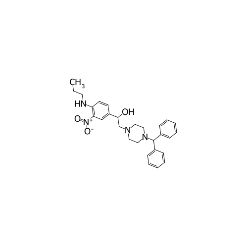 CCCNc1ccc(C(O)CN2CCN(C(c3ccccc3)c3ccccc3)CC2)cc1[N+](=O)[O-]